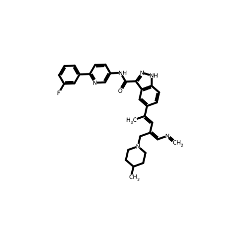 C=N/C=C(\C=C(/C)c1ccc2[nH]nc(C(=O)Nc3ccc(-c4cccc(F)c4)nc3)c2c1)CN1CCC(C)CC1